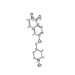 CCN1CCC(COc2ccc3c(=O)[nH]ccc3c2)CC1